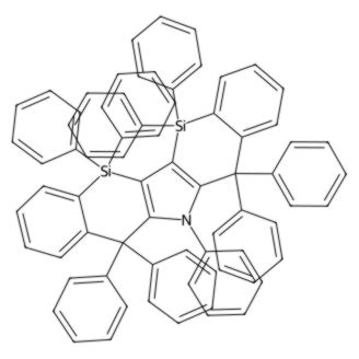 c1ccc(-n2c3c(c4c2C(c2ccccc2)(c2ccccc2)c2ccccc2[Si]4(c2ccccc2)c2ccccc2)[Si](c2ccccc2)(c2ccccc2)c2ccccc2C3(c2ccccc2)c2ccccc2)cc1